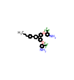 CCCCc1ccc(C2CCC(c3ccc(Oc4ccc(N)cc4C(F)(F)F)cc3)(c3ccc(Oc4ccc(N)cc4C(F)(F)F)cc3)CC2)cc1